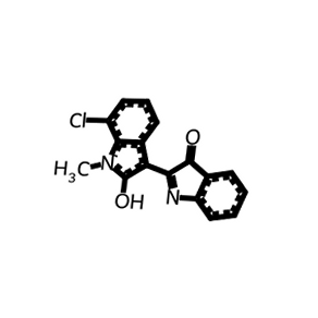 Cn1c(O)c(C2=Nc3ccccc3C2=O)c2cccc(Cl)c21